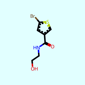 O=C(NCCO)c1csc(Br)c1